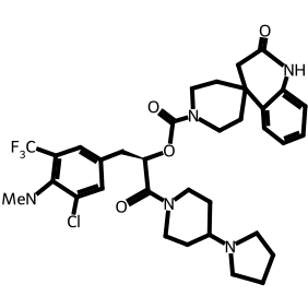 CNc1c(Cl)cc(C[C@@H](OC(=O)N2CCC3(CC2)CC(=O)Nc2ccccc23)C(=O)N2CCC(N3CCCC3)CC2)cc1C(F)(F)F